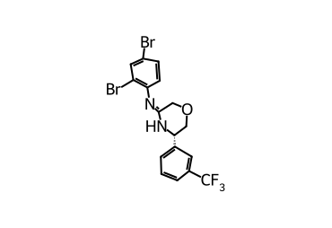 FC(F)(F)c1cccc([C@H]2COCC(=Nc3ccc(Br)cc3Br)N2)c1